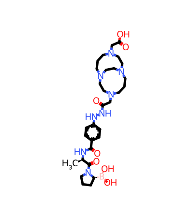 C[C@@H](NC(=O)c1ccc(NNC(=O)CN2CCCN3CCN(CCCN(CC(=O)O)CC3)CC2)cc1)C(=O)N1CCC[C@H]1B(O)O